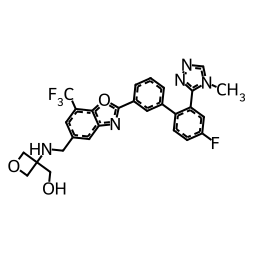 Cn1cnnc1-c1cc(F)ccc1-c1cccc(-c2nc3cc(CNC4(CO)COC4)cc(C(F)(F)F)c3o2)c1